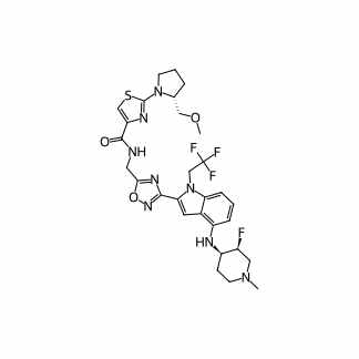 COC[C@H]1CCCN1c1nc(C(=O)NCc2nc(-c3cc4c(N[C@@H]5CCN(C)C[C@@H]5F)cccc4n3CC(F)(F)F)no2)cs1